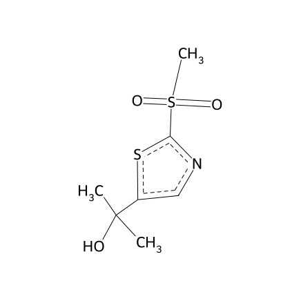 CC(C)(O)c1cnc(S(C)(=O)=O)s1